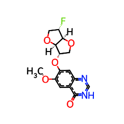 COc1cc2c(=O)[nH]cnc2cc1O[C@H]1CO[C@H]2[C@@H]1OC[C@@H]2F